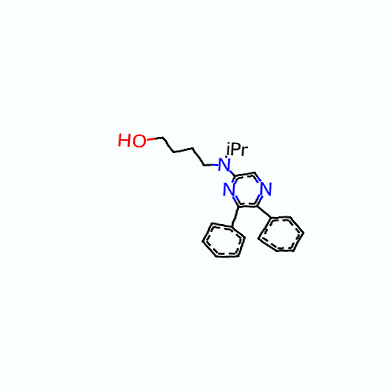 CC(C)N(CCCCO)c1cnc(-c2ccccc2)c(-c2ccccc2)n1